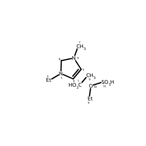 CC(=O)O.CCN1C=CN(C)C1.CCOS(=O)(=O)O